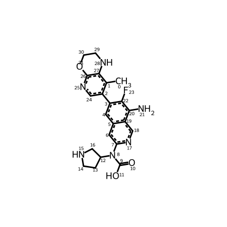 Cc1c(-c2cc3cc(N(C(=O)O)C4CCNC4)ncc3c(N)c2F)cnc2c1NCCO2